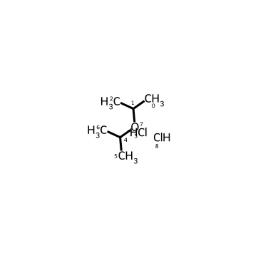 CC(C)OC(C)C.Cl.Cl